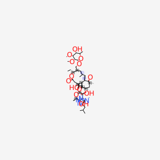 CC[C@H]1OC(=O)C[C@@H](O)[C@@H]2/C(=C\C(C)=C\[C@@H]1COC1OC(C)C(O)C(OC)C1OC)C(=O)[C@H](C)C[C@H](CCn1cc(CC(C)C)nn1)[C@@H]2O[C@@H]1O[C@H](C)C(O)C(N(C)C)C1O